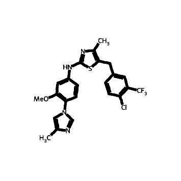 COc1cc(Nc2nc(C)c(Cc3ccc(Cl)c(C(F)(F)F)c3)s2)ccc1-n1cnc(C)c1